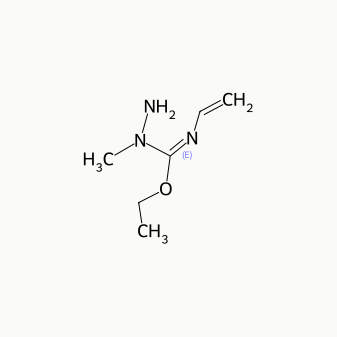 C=C/N=C(/OCC)N(C)N